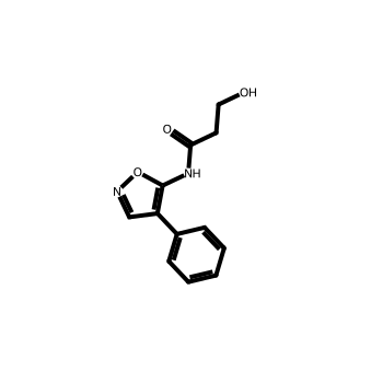 O=C(CCO)Nc1oncc1-c1ccccc1